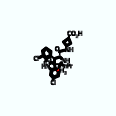 CCCC1(C)N[C@@H](C(=O)N[C@H]2C[C@H](C(=O)O)C2)[C@H](c2cccc(Cl)c2F)[C@]12C(=O)Nc1cc(Cl)ccc12